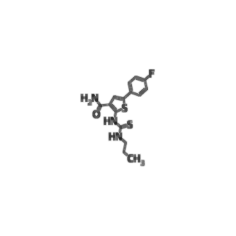 CCCNC(=S)Nc1sc(-c2ccc(F)cc2)cc1C(N)=O